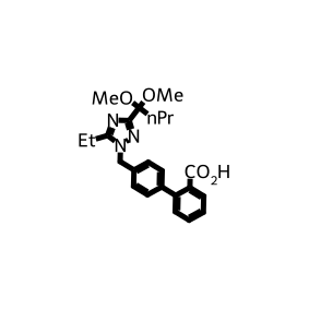 CCCC(OC)(OC)c1nc(CC)n(Cc2ccc(-c3ccccc3C(=O)O)cc2)n1